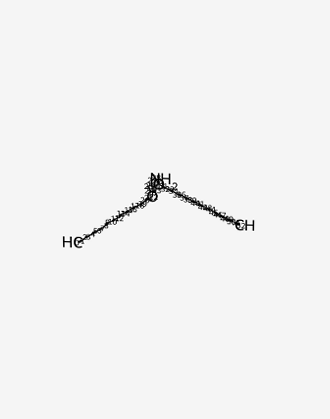 C#CC#CC#CC#CC#CC#CC#CC#CC#CC#CC#COc1ccc(CN)c(OC#CC#CC#CC#CC#CC#CC#CC#CC#CC#CC#C)c1